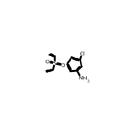 C=CS(=O)(=O)C=C.Nc1cccc(Cl)c1